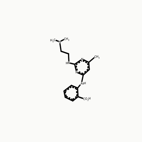 Cc1cc([AsH]c2ccccc2C(=O)O)nc(NCCN(C)C)n1